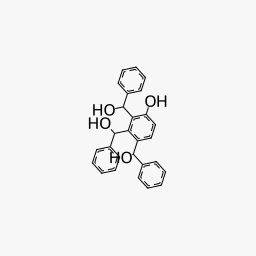 Oc1ccc(C(O)c2ccccc2)c(C(O)c2ccccc2)c1C(O)c1ccccc1